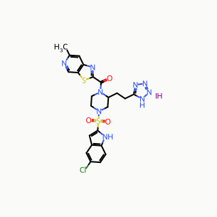 Cc1cc2nc(C(=O)N3CCN(S(=O)(=O)c4cc5cc(Cl)ccc5[nH]4)CC3CCc3nnn[nH]3)sc2cn1.I